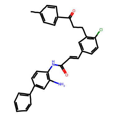 Cc1ccc(C(=O)CCc2cc(C=CC(=O)Nc3ccc(-c4ccccc4)cc3N)ccc2Cl)cc1